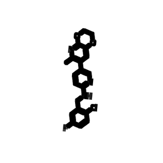 Cc1nc2c(cc1-c1ccc(NCc3cc(F)ccc3Cl)nc1)OCCO2